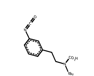 CC(C)(C)N(CCc1cccc(N=C=O)c1)C(=O)O